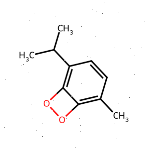 Cc1ccc(C(C)C)c2ooc12